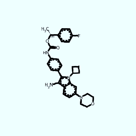 C[C@@H](OC(=O)Nc1ccc(-c2c(N)c3ccc(N4CCOCC4)cc3n2C2CCC2)cc1)c1ccc(F)cc1